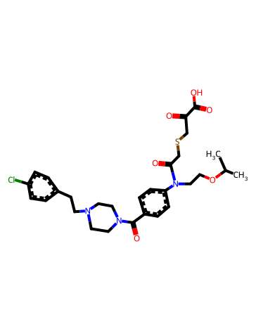 CC(C)OCCN(C(=O)CSCC(=O)C(=O)O)c1ccc(C(=O)N2CCN(CCc3ccc(Cl)cc3)CC2)cc1